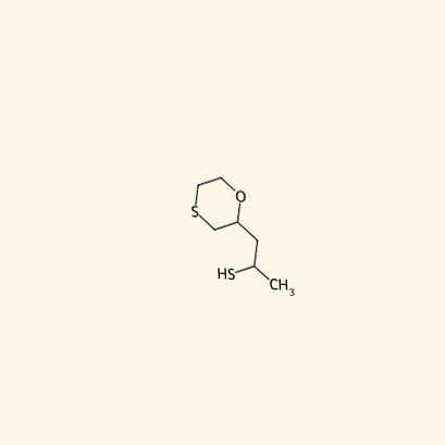 CC(S)CC1CSCCO1